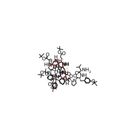 CC(C)[C@H](N)C(=O)N[C@@H](Cc1ccc(OC(C)(C)C)cc1)C(=O)N1CCC[C@H]1C(=O)N[C@@H](CC(=O)NC(c1ccccc1)(c1ccccc1)c1ccccc1)C(=O)NCC(=O)N[C@@H](C)C(=O)N[C@@H](CCC(=O)OC(C)(C)C)C(=O)N[C@@H](CC(=O)OC(C)(C)C)C(=O)N[C@@H](CCC(=O)OC(C)(C)C)C(=O)N[C@@H](COC(C)(C)C)C(=O)N[C@@H](C)C(=O)N[C@@H](CCC(=O)OC(C)(C)C)C(=O)N[C@@H](C)C(=O)O